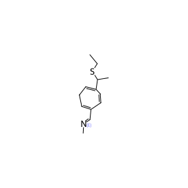 CCSC(C)C1=CCC=C(/C=N/C)C=C1